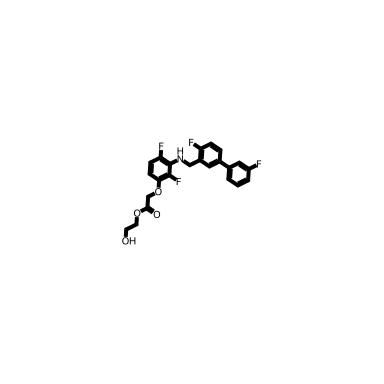 O=C(COc1ccc(F)c(NCc2cc(-c3cccc(F)c3)ccc2F)c1F)OCCO